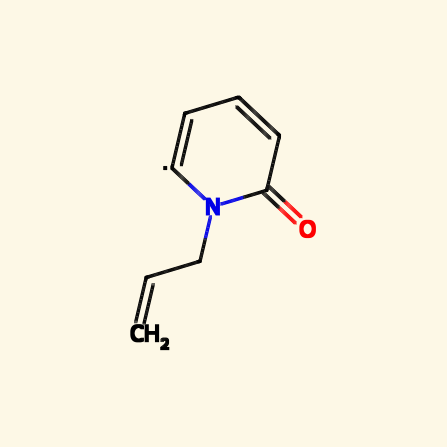 C=CCn1[c]cccc1=O